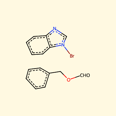 Brn1cnc2ccccc21.O=COCc1ccccc1